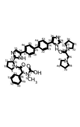 CN(C(=O)O)[C@@H](C(=O)N1CCC[C@H]1c1ncc(-c2ccc(-c3ccc(-c4cnc([C@@H]5CCCN5C(=O)CN5CCCC5)[nH]4)cc3)cc2)[nH]1)c1ccccc1